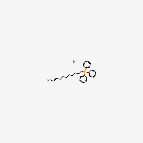 CC(C)C=CCCCCCCCC[P+](c1ccccc1)(c1ccccc1)c1ccccc1.[Br-]